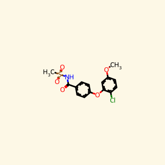 COc1ccc(Cl)c(Oc2ccc(C(=O)NS(C)(=O)=O)cc2)c1